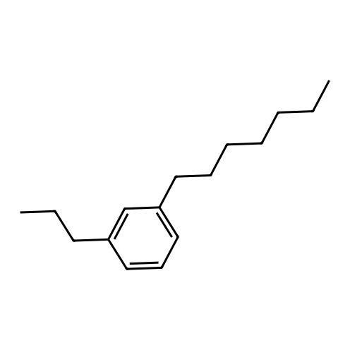 CCCCCCCc1cccc(CCC)c1